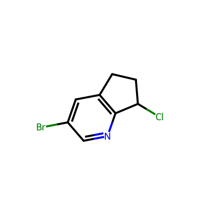 ClC1CCc2cc(Br)cnc21